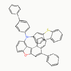 c1ccc(-c2ccc(N(c3ccc4c(c3)sc3ccccc34)c3cccc4oc5cc(-c6ccccc6)c6ccccc6c5c34)cc2)cc1